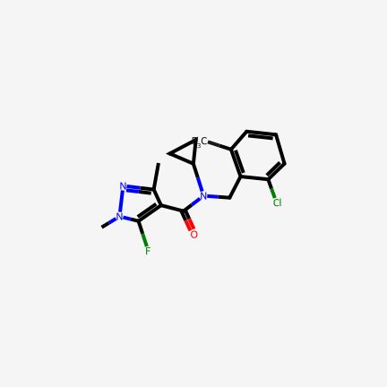 Cc1nn(C)c(F)c1C(=O)N(Cc1c(Cl)cccc1C(F)(F)F)C1CC1